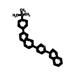 C[Si](C)(C)c1ccc(-c2ccc3ccc(-c4ccc(-c5ccc6ccccc6c5)nc4)cc3c2)cc1